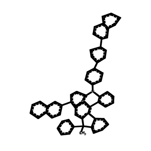 CC1(c2ccccc2)c2ccccc2-c2c(-c3ccccc3N(c3ccc(-c4ccc(-c5ccc6ccccc6c5)cc4)cc3)c3ccc(-c4ccc5ccccc5c4)cc3)cccc21